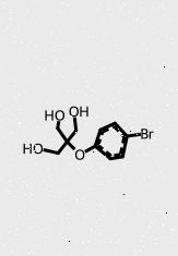 OCC(CO)(CO)Oc1ccc(Br)cc1